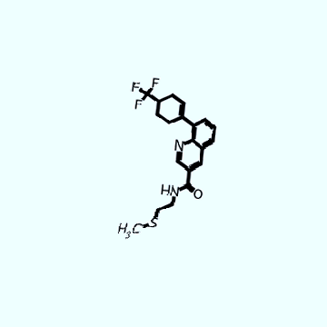 CSCCNC(=O)c1cnc2c(C3=CCC(C(F)(F)F)CC3)cccc2c1